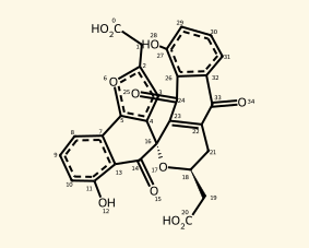 O=C(O)Cc1cc2c(o1)-c1cccc(O)c1C(=O)[C@@]21O[C@H](CC(=O)O)CC2=C1C(=O)c1c(O)cccc1C2=O